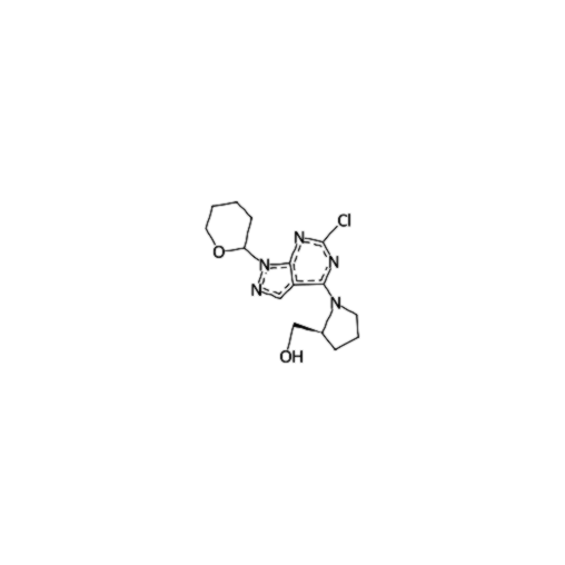 OC[C@@H]1CCCN1c1nc(Cl)nc2c1cnn2C1CCCCO1